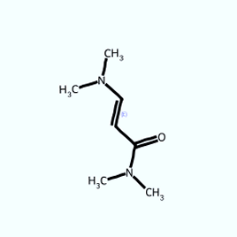 CN(C)/C=C/C(=O)N(C)C